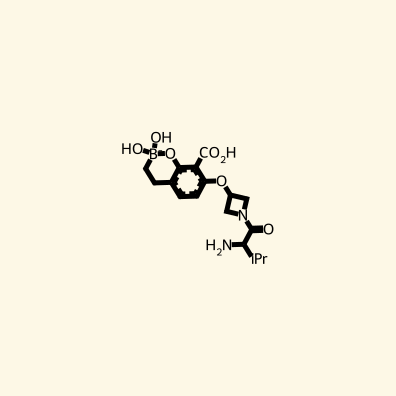 CC(C)C(N)C(=O)N1CC(Oc2ccc3c(c2C(=O)O)O[B-](O)(O)CC3)C1